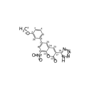 COc1cccc(-c2cc([N+](=O)[O-])c3oc(=O)c(-c4nnn[nH]4)cc3c2)c1